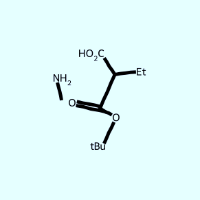 CCC(C(=O)O)C(=O)OC(C)(C)C.CN